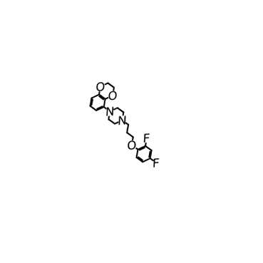 Fc1ccc(OCCCN2CCN(c3cccc4c3OCCO4)CC2)c(F)c1